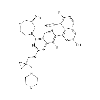 C#Cc1c(F)ccc2cc(O)cc(-c3ncc4c(N5CCOC[C@@H](N)C5)nc(OCC5(CN6CCOCC6)CC5)nc4c3F)c12